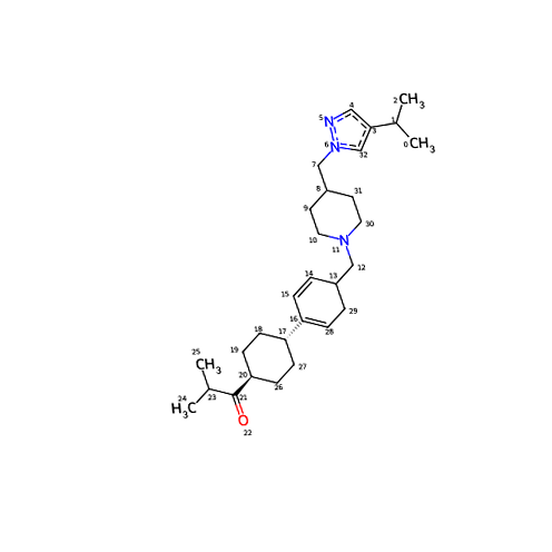 CC(C)c1cnn(CC2CCN(CC3C=CC([C@H]4CC[C@H](C(=O)C(C)C)CC4)=CC3)CC2)c1